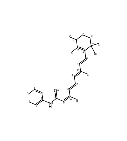 C/C=C\C(=C/C)NC(=O)\C=C(C)/C=C/C=C(C)/C=C/C1=C(C)C(C)CCC1(C)C